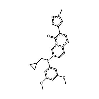 COc1cc(OC)cc(N(CC2CC2)c2ccc3ncc(-c4cnn(C)c4)c(=O)n3c2)c1